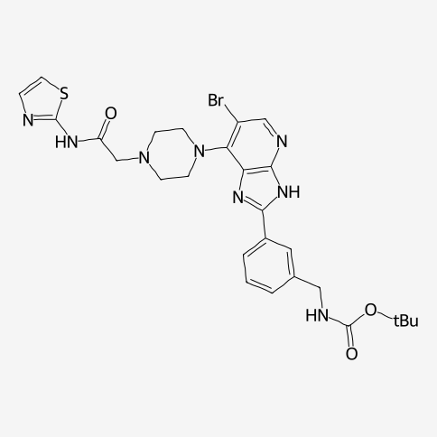 CC(C)(C)OC(=O)NCc1cccc(-c2nc3c(N4CCN(CC(=O)Nc5nccs5)CC4)c(Br)cnc3[nH]2)c1